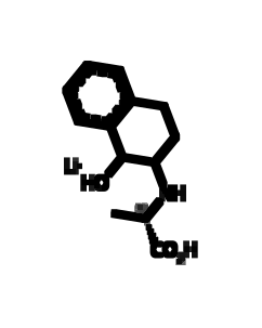 C[C@H](NC1CCc2ccccc2C1O)C(=O)O.[Li]